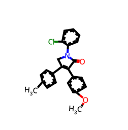 COc1ccc(C2=C(c3ccc(C)cc3)CN(c3ccccc3Cl)C2=O)cc1